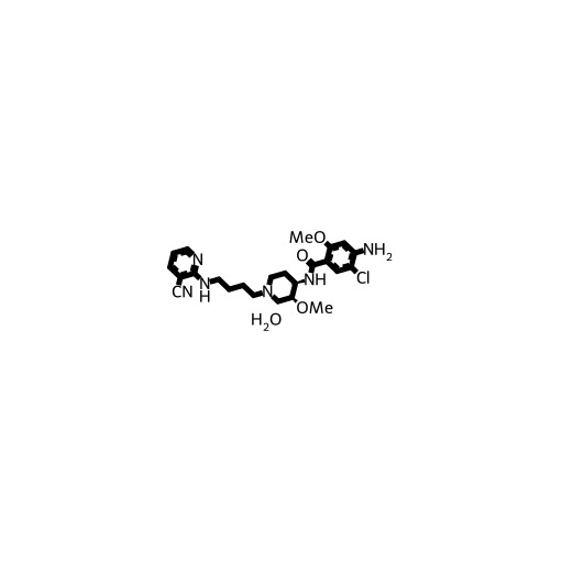 COc1cc(N)c(Cl)cc1C(=O)N[C@@H]1CCN(CCCCNc2ncccc2C#N)C[C@@H]1OC.O